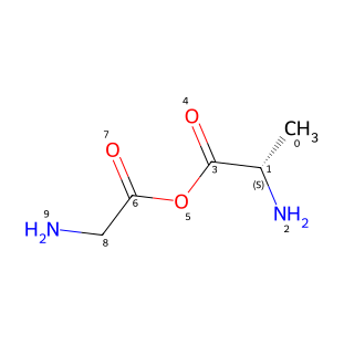 C[C@H](N)C(=O)OC(=O)CN